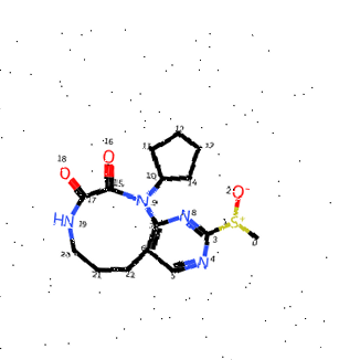 C[S+]([O-])c1ncc2c(n1)N(C1CCCC1)C(=O)C(=O)NCCC2